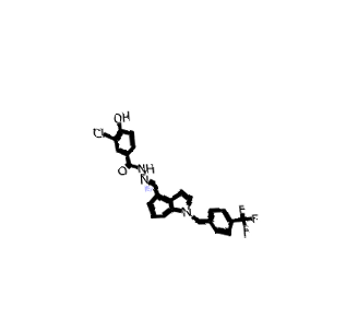 O=C(N/N=C/c1cccc2c1ccn2Cc1ccc(C(F)(F)F)cc1)c1ccc(O)c(Cl)c1